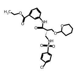 CCOC(=O)c1cccc(NC(=O)[C@@H](CNS(=O)(=O)c2ccc(Cl)cc2)COC2CCCCO2)c1